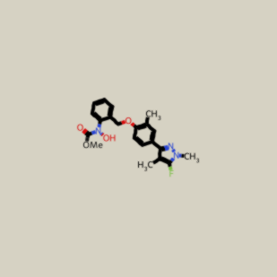 COC(=O)N(O)c1ccccc1COc1ccc(-c2nn(C)c(F)c2C)cc1C